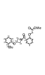 COC(=O)COc1ccccc1C(=O)N1CC(Oc2ccccc2C(C)(C)C)C1